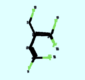 FCC(C=C(F)F)=C(F)F